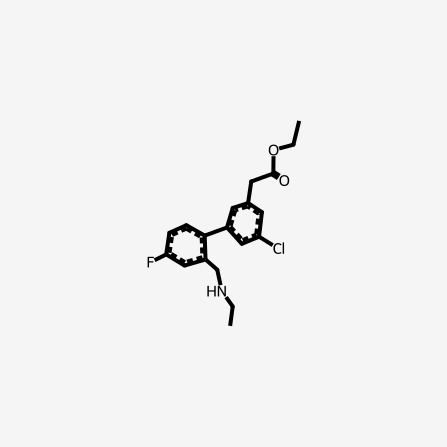 CCNCc1cc(F)ccc1-c1cc(Cl)cc(CC(=O)OCC)c1